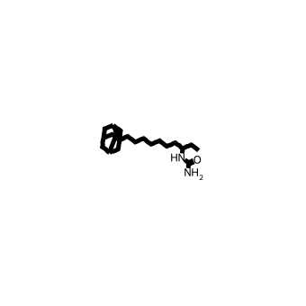 CCC(CCCCCCCC12CC3CC(CC(C3)C1)C2)NC(N)=O